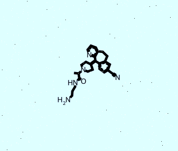 CC(C(=O)NCCCN)N1CCC(=C2c3ccc(C#N)cc3CCc3cccnc32)CC1